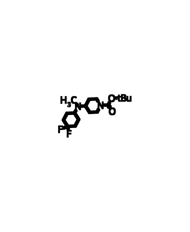 CN(C1CCN(C(=O)OC(C)(C)C)CC1)C1CCC(F)(F)CC1